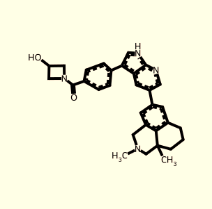 CN1Cc2cc(-c3cnc4[nH]cc(-c5ccc(C(=O)N6CC(O)C6)cc5)c4c3)cc3c2C(C)(CCC3)C1